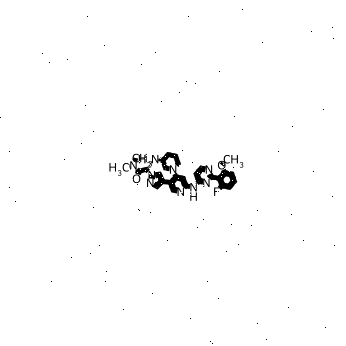 COc1cccc(F)c1-c1nccc(Nc2cc(N3CCC[C@H](N)C3)c(-c3cnn(CC(=O)N(C)C)c3)cn2)n1